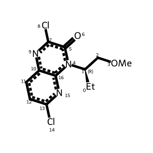 CC[C@H](COC)n1c(=O)c(Cl)nc2ccc(Cl)nc21